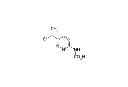 CC(Cl)c1ccc(NC(=O)O)nn1